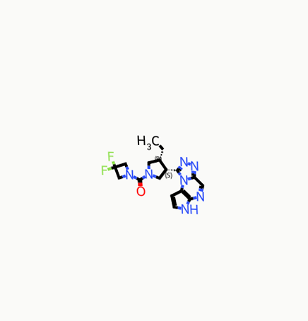 CC[C@H]1CN(C(=O)N2CC(F)(F)C2)C[C@H]1c1nnc2cnc3[nH]ccc3n12